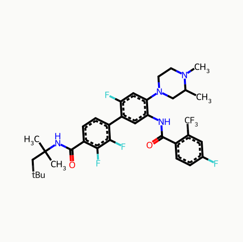 CC1CN(c2cc(F)c(-c3ccc(C(=O)NC(C)(C)CC(C)(C)C)c(F)c3F)cc2NC(=O)c2ccc(F)cc2C(F)(F)F)CCN1C